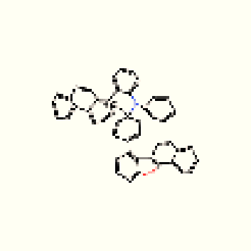 CC1(N(c2ccccc2)c2ccccc2-c2cccc3c2ccc2ccccc23)C=CC(c2cccc3oc4c5ccccc5ccc4c23)=CC1